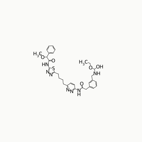 CCOC(O)NCc1cccc(CC(=O)Nc2ccc(CCCCc3nnc(NC(=O)C(OC)c4ccccc4)s3)nn2)c1